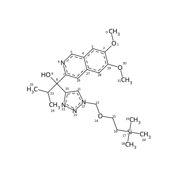 COc1cc2cnc(C(O)(c3cn(COCC[Si](C)(C)C)nn3)C(C)C)cc2cc1OC